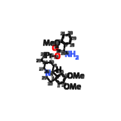 COc1cc2c(cc1OC)[C@H]1C[C@@H](COC(=O)C(N)c3ccccc3OC)[C@H](CC(C)C)CN1CC2